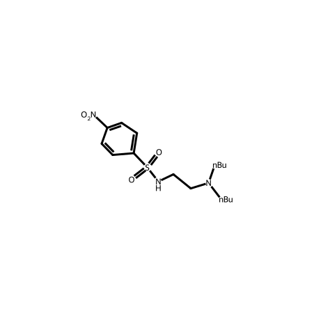 CCCCN(CCCC)CCNS(=O)(=O)c1ccc([N+](=O)[O-])cc1